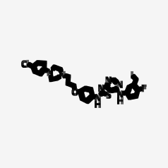 Fc1ccc(Nc2ncnc3nc(Nc4ccc(OCCCN5CCN(c6ccc(Cl)cc6)CC5)cc4)sc23)cc1CI